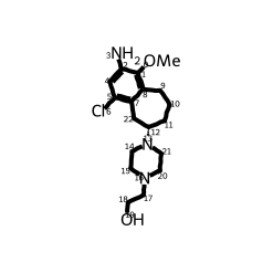 COc1c(N)cc(Cl)c2c1CCC[C@H](N1CCN(CCO)CC1)C2